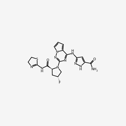 NC(=O)c1cc(Nc2nc(N3C[C@H](F)C[C@H]3C(=O)NC3=NCCS3)nn3cccc23)n[nH]1